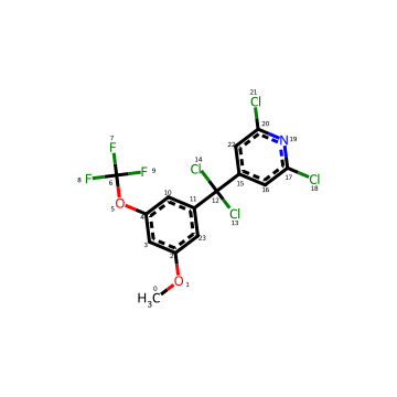 COc1cc(OC(F)(F)F)cc(C(Cl)(Cl)c2cc(Cl)nc(Cl)c2)c1